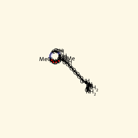 CO[C@H]1C[C@@H]2CC[C@@H](C)[C@@](O)(O2)C(=O)C(=O)N2CCCC[C@H]2C(=O)O[C@H]([C@H](N)C[C@@H]2CC[C@@H](OC(=O)NCCOCCOCCOCCOCCOCCOCCOCCOCCC(=O)NCc3ccc(Cn4nc(-c5ccc6oc(N)nc6c5)c5c(N)ncnc54)cc3)[C@H](OC)C2)C[C@@H](O)[C@H](C)/C=C(\C)[C@@H](O)[C@@H](O)C(=O)[C@H](C)C[C@H](C)/C=C/C=C/C=C/1C